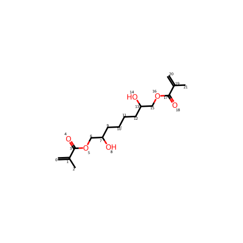 C=C(C)C(=O)OCC(O)C[CH]CCC(O)COC(=O)C(=C)C